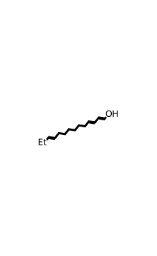 CCC=CCCCCCCC=CC=CO